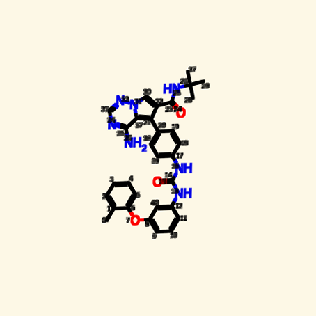 Cc1ccccc1Oc1cccc(NC(=O)Nc2ccc(-c3c(C(=O)NC(C)(C)C)cn4ncnc(N)c34)cc2)c1